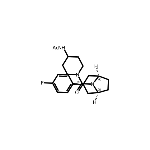 CC(=O)NC1CCN(C(=O)N2[C@@H]3CC[C@H]2C[C@@H](c2ccc(F)cc2)C3)CC1